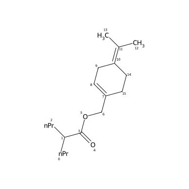 CCCC(CCC)C(=O)OCC1=CCC(=C(C)C)CC1